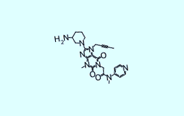 CC#CCn1c(N2CCCC(N)C2)nc2c1c(=O)n(CC(=O)N(C)c1ccncc1)c(=O)n2C